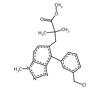 COC(=O)C(C)(C)Cc1ccc2c(nnn2C)c1-c1cccc(CCl)c1